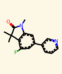 CN1C(=O)C(C)(C)c2c(F)cc(-c3cccnc3)cc21